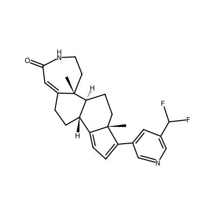 C[C@]12CC[C@H]3[C@@H](CCC4=CC(=O)NCC[C@@]43C)C1=CC=C2c1cncc(C(F)F)c1